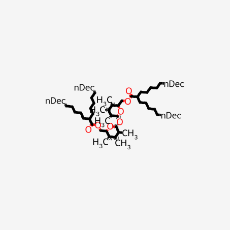 CCCCCCCCCCCCCCCC(CCCCCCCCCCCCCCC)C(=O)OCC1O[C@H](O[C@H]2OC(COC(=O)C(CCCCCCCCCCCCCCC)CCCCCCCCCCCCCCC)[C@@H](C)[C@H](C)C2C)C(C)[C@@H](C)[C@@H]1C